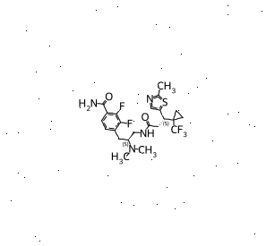 Cc1ncc([C@@H](CC(=O)NC[C@H](Cc2ccc(C(N)=O)c(F)c2F)N(C)C)C2(C(F)(F)F)CC2)s1